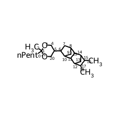 CCCCCC1(C)OCC(C2CC3CC2C2C4CC(C(C)C4C)C32)CO1